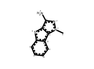 Cn1nc(N)c2sc3ccccc3c21